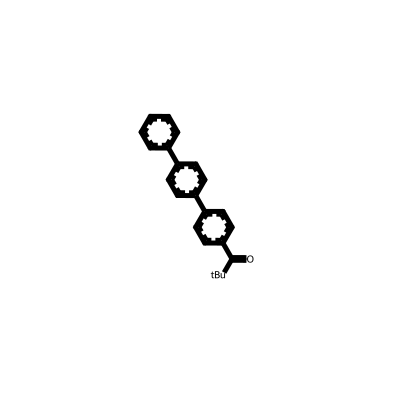 CC(C)(C)C(=O)c1ccc(-c2ccc(-c3ccccc3)cc2)cc1